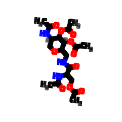 CC(=O)NC(COC(C)=O)C(=O)NCC1OC[C@@H](NC(C)=O)C(OC(C)=O)[C@H]1OC(C)=O